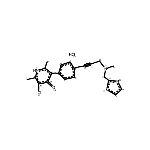 Cc1[nH]c(C)c(-c2ccc(C#CCN(C)Cc3nccs3)cc2)c(=O)c1Cl.Cl